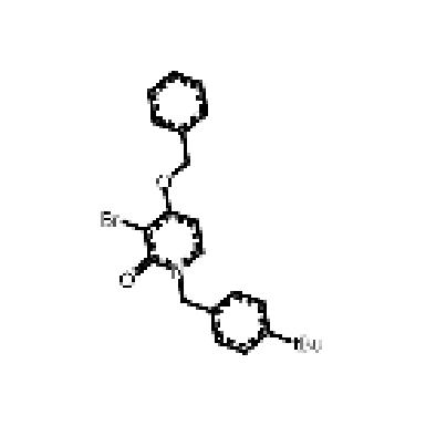 CC(C)(C)c1ccc(Cn2ccc(OCc3ccccc3)c(Br)c2=O)cc1